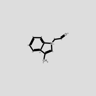 Cc1cn(CC=O)c2ccccc12